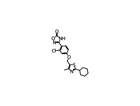 Cc1nc(C2CCCCC2)sc1COc1ccc(-c2noc(=O)[nH]2)c(Cl)c1